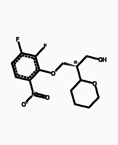 O=[N+]([O-])c1ccc(F)c(F)c1OC[C@H](CO)C1CCCCO1